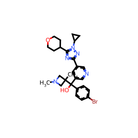 CN1CC(C)(C(O)(c2ccc(Br)cc2)c2cncc(-c3nc(C4CCOCC4)n(C4CC4)n3)c2)C1